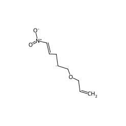 C=CCOC[CH]CC=C[N+](=O)[O-]